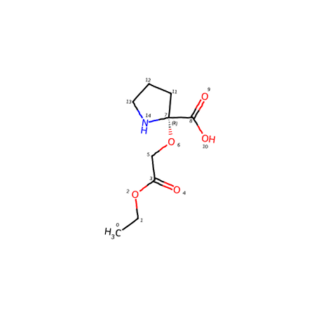 CCOC(=O)CO[C@@]1(C(=O)O)CCCN1